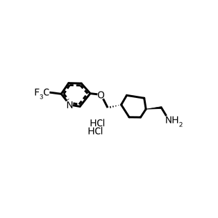 Cl.Cl.NC[C@H]1CC[C@H](COc2ccc(C(F)(F)F)nc2)CC1